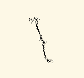 C=C(C)COCCCCCCCCCCOC(=O)CCCCC(=O)OCCCCCCCCCCOCC(=C)C